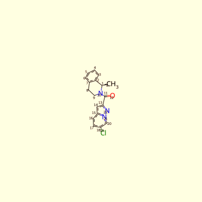 C[C@@H]1c2ccccc2CCN1C(=O)c1cc2ccc(Cl)cn2n1